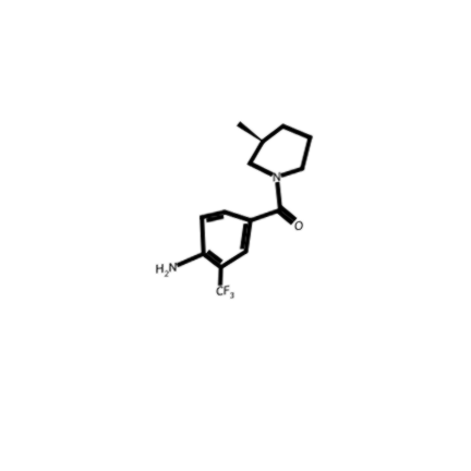 C[C@H]1CCCN(C(=O)c2ccc(N)c(C(F)(F)F)c2)C1